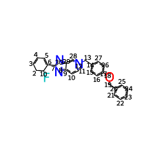 FC1CC=CC=C1c1nc2ccn(Cc3ccc(OCc4ccccc4)cc3)cc-2n1